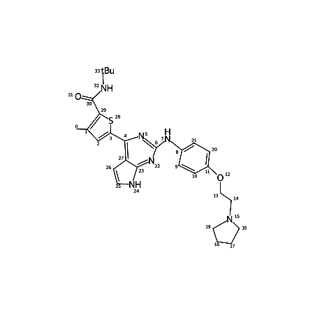 Cc1cc(-c2nc(Nc3ccc(OCCN4CCCC4)cc3)nc3[nH]ccc23)sc1C(=O)NC(C)(C)C